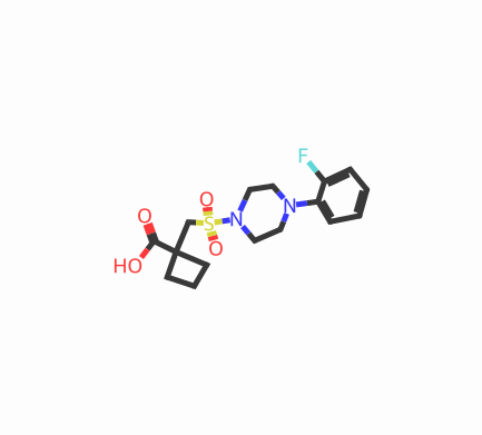 O=C(O)C1(CS(=O)(=O)N2CCN(c3ccccc3F)CC2)CCC1